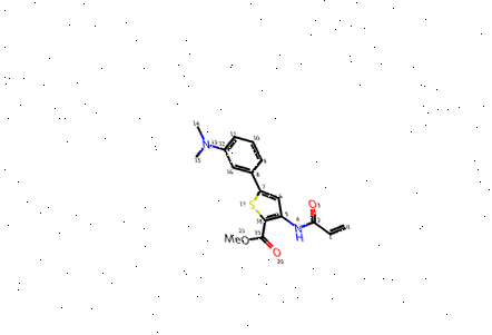 C=CC(=O)Nc1cc(-c2cccc(N(C)C)c2)sc1C(=O)OC